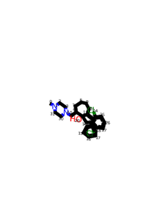 CN1CCN(CC2CCCC/C(=C/c3ccccc3)C2(O)Cc2c(Cl)cccc2Cl)CC1